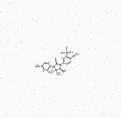 [C-]#[N+]c1ccc(N2C(=N)C(C)(C)N(c3ccc(O)cc3)C2=S)cc1C(F)(F)F